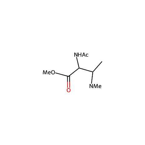 CNC(C)C(NC(C)=O)C(=O)OC